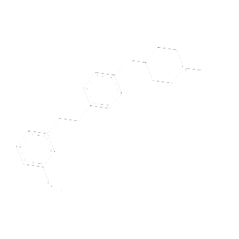 Nc1cccc(CCc2ccc(OC3CCN(C(=O)O)CC3)cc2)c1